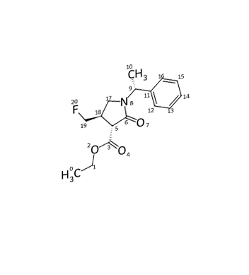 CCOC(=O)[C@H]1C(=O)N([C@H](C)c2ccccc2)C[C@@H]1CF